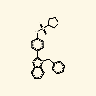 O=S(=O)(Nc1ccc(-c2nc3ccccc3n2Cc2ccccc2)cc1)C1CCSC1